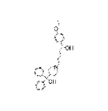 CCOc1ccc(C(O)CCCCN2CCC(C(O)(c3ccccc3)c3ccccc3)CC2)cc1